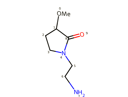 COC1CCN(CCN)C1=O